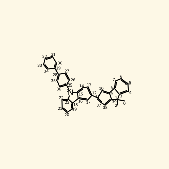 CC1(C)c2ccccc2-c2cc(-c3ccc4c(c3)c3ccccc3n4-c3ccc(-c4ccccc4)cc3)ccc21